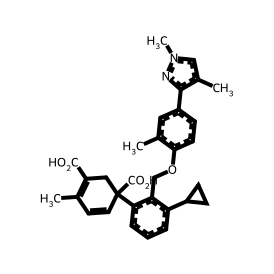 CC1=C(C(=O)O)CC(C(=O)O)(c2cccc(C3CC3)c2COc2ccc(-c3nn(C)cc3C)cc2C)C=C1